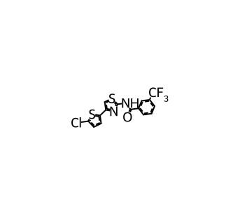 O=C(Nc1nc(-c2ccc(Cl)s2)cs1)c1cccc(C(F)(F)F)c1